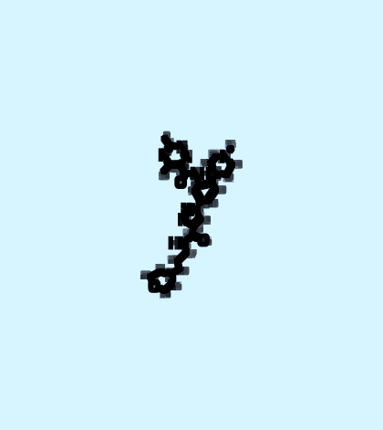 Cc1nnc(C(=O)Nc2cc(-n3cc(C(=O)NCCCN4CCOCC4)nn3)ccc2N2CCN(C)CC2)c(C)n1